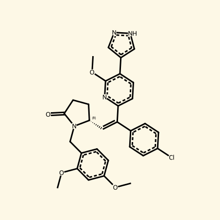 COc1ccc(CN2C(=O)CC[C@@H]2C=C(c2ccc(Cl)cc2)c2ccc(-c3cn[nH]c3)c(OC)n2)c(OC)c1